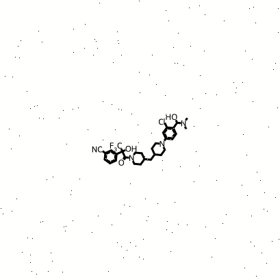 CN(C)C(O)c1ccc(N2CCC(CC3CCN(C(=O)C(O)(c4cccc(C#N)c4)C(F)(F)F)CC3)CC2)cc1Cl